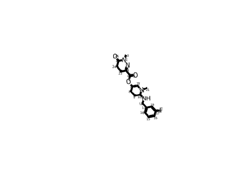 CN1N=C(C(=O)OC2CCC(NCc3cccc(F)c3)N(C)C2)CCC1=O